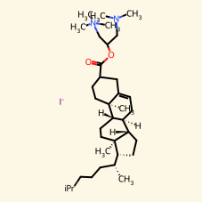 CC(C)CCC[C@@H](C)[C@H]1CC[C@H]2[C@@H]3CC=C4CC(C(=O)OC(CN(C)C)C[N+](C)(C)C)CC[C@]4(C)[C@H]3CC[C@]12C.[I-]